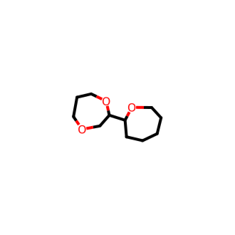 C1CCOC(C2COCCCO2)CC1